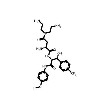 CCOc1ccc(NC(=O)[C@@H](NC(=O)[C@@H](N)CC(=O)N(CCN)CCN)[C@@H](O)c2ccc(C(F)(F)F)cc2)cc1